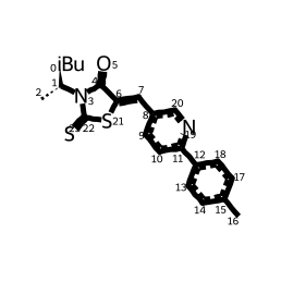 CC[C@H](C)[C@@H](C)N1C(=O)/C(=C/c2ccc(-c3ccc(C)cc3)nc2)SC1=S